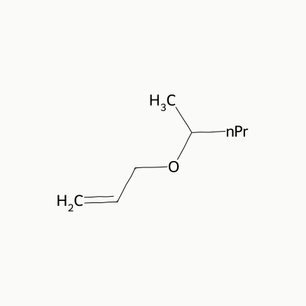 C=CCOC(C)CCC